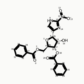 O=C(OC[C@H]1O[C@H](c2c[nH]c([N+](=O)[O-])n2)[C@H](O)[C@@H]1OC(=O)c1ccccc1)c1ccccc1